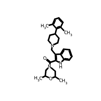 Cc1cccc(C)c1C1CCN(Cc2c(C(=O)N3CC(C)OC(C)C3)[nH]c3ccccc23)CC1